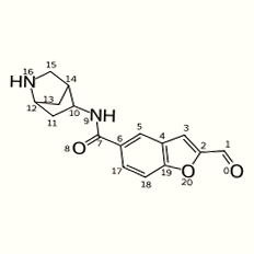 O=Cc1cc2cc(C(=O)NC3CC4CC3CN4)ccc2o1